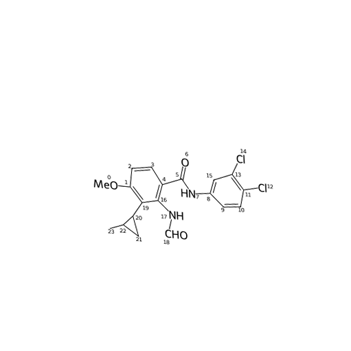 COc1ccc(C(=O)Nc2ccc(Cl)c(Cl)c2)c(NC=O)c1C1CC1C